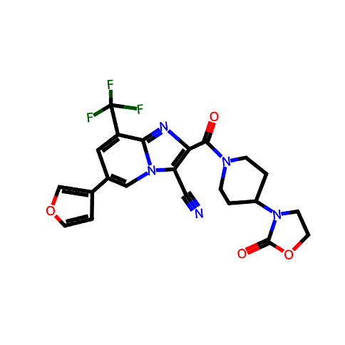 N#Cc1c(C(=O)N2CCC(N3CCOC3=O)CC2)nc2c(C(F)(F)F)cc(-c3ccoc3)cn12